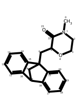 CN1CCOC(CC23CC(c4ccccc42)c2ccccc23)C1=O